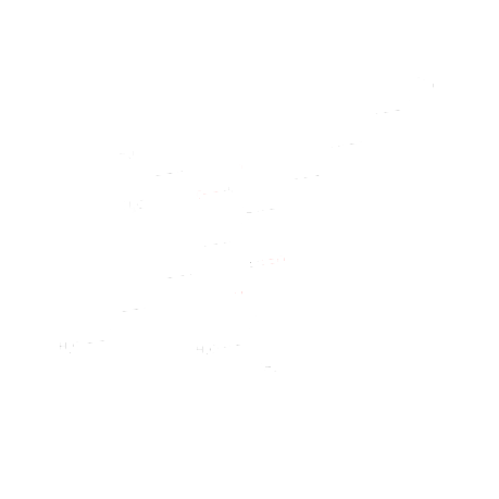 CCCCCCCCC(C(=O)OCC(C)C)=C(CCCCCCC)C(=O)OCC(C)C